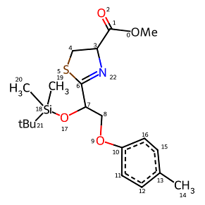 COC(=O)C1CSC(C(COc2ccc(C)cc2)O[Si](C)(C)C(C)(C)C)=N1